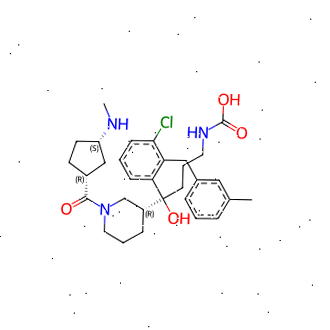 CN[C@H]1CC[C@@H](C(=O)N2CCC[C@@H](C(O)(CCCNC(=O)O)c3cccc(Cl)c3Cc3cccc(C)c3)C2)C1